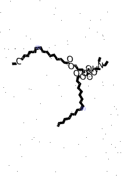 CCCCCCCC/C=C\CCCCCCCC(=O)OCC(COP(=O)(O)OCCN(CC)CC)OC(=O)CCCCCCC/C=C\CCCCCCCC